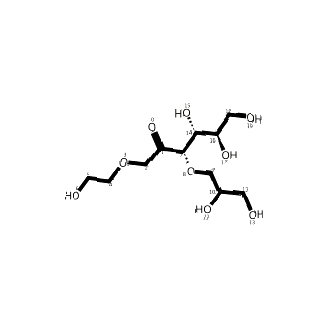 O=C(COCCO)[C@@H](OCC(O)CO)[C@H](O)[C@H](O)CO